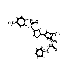 CC(C)(C)n1nc(C2CCC(OC(=O)Oc3ccc([N+](=O)[O-])cc3)C2)cc1NC(=O)OCc1ccccc1